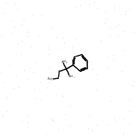 BC(B)(CCOC(C)=O)c1ccccc1